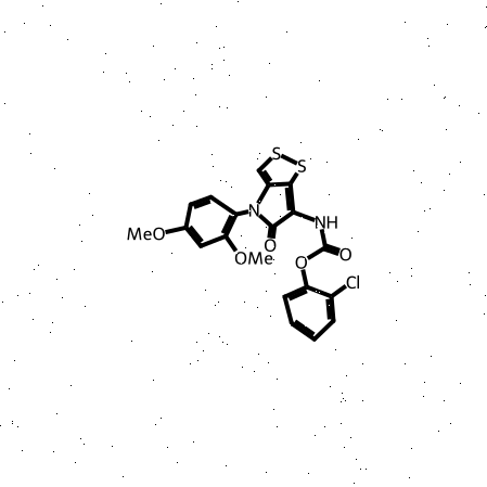 COc1ccc(-n2c3cssc-3c(NC(=O)Oc3ccccc3Cl)c2=O)c(OC)c1